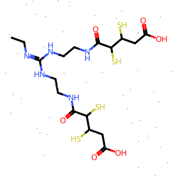 CCN=C(NCCNC(=O)C(S)C(S)CC(=O)O)NCCNC(=O)C(S)C(S)CC(=O)O